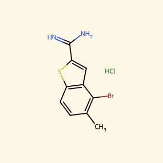 Cc1ccc2sc(C(=N)N)cc2c1Br.Cl